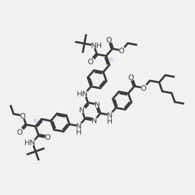 CCCCC(CC)COC(=O)c1ccc(Nc2nc(Nc3ccc(/C=C(\C(=O)NC(C)(C)C)C(=O)OCC)cc3)nc(Nc3ccc(/C=C(\C(=O)NC(C)(C)C)C(=O)OCC)cc3)n2)cc1